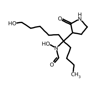 CCCCC(CCCCCO)(C1CCNC1=O)N(O)C=O